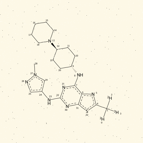 [2H]C([2H])([2H])c1nc2c(N[C@H]3CC[C@H](N4CCCCC4)CC3)nc(Nc3cnn(C)c3)nc2s1